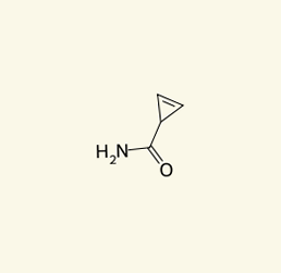 NC(=O)C1C=C1